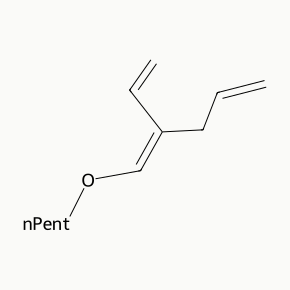 C=CCC(C=C)=COCCCCC